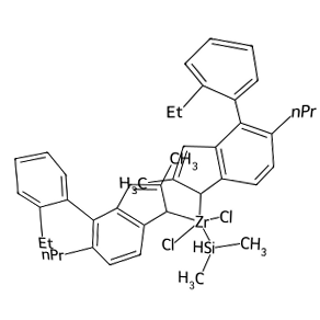 CCCc1ccc2c(c1-c1ccccc1CC)C=C(C)[CH]2[Zr]([Cl])([Cl])([CH]1C(C)=Cc2c1ccc(CCC)c2-c1ccccc1CC)[SiH](C)C